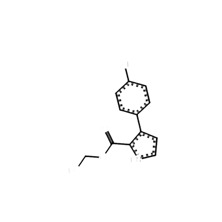 CCOC(=O)c1[nH]ccc1-c1ccc(Cl)cc1